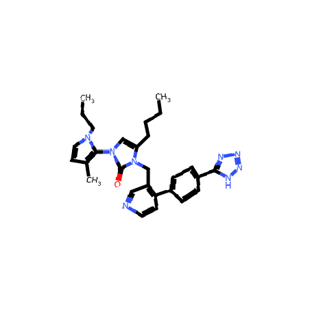 CCCCc1cn(-c2c(C)ccn2CCC)c(=O)n1Cc1cnccc1-c1ccc(-c2nnn[nH]2)cc1